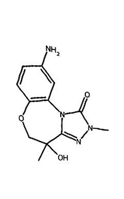 Cn1nc2n(c1=O)-c1cc(N)ccc1OCC2(C)O